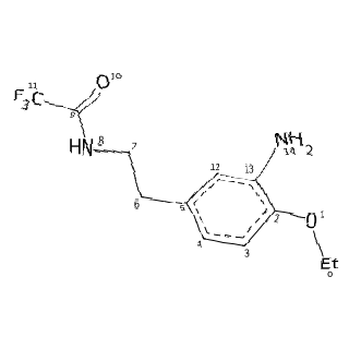 CCOc1ccc(CCNC(=O)C(F)(F)F)cc1N